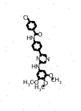 COc1cc(Nc2cncc(-c3ccc(NC(=O)c4ccc(Cl)cc4)cc3)n2)cc(OC)c1OC